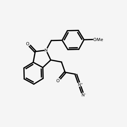 COc1ccc(CN2C(=O)c3ccccc3C2CC(=O)C=[N+]=[N-])cc1